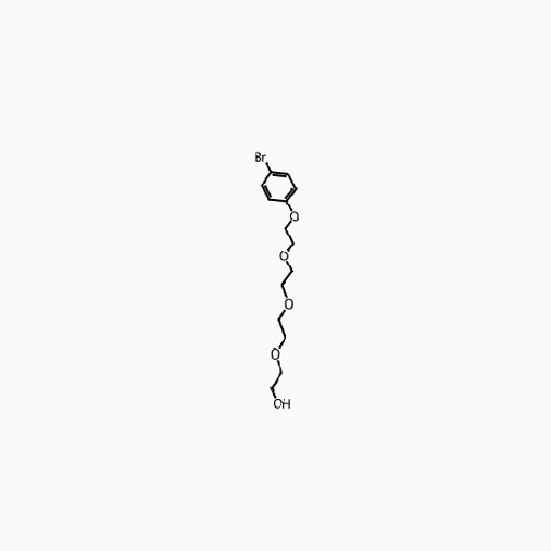 OCCOCCOCCOCCOc1ccc(Br)cc1